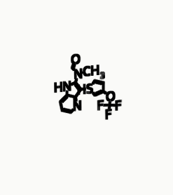 CN(C=O)c1[nH]c2cccnc2c1[SH]1C=CC(OC(F)(F)F)=C1